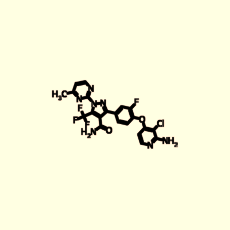 Cc1ccnc(-n2nc(-c3ccc(Oc4ccnc(N)c4Cl)c(F)c3)c(C(N)=O)c2C(F)(F)F)n1